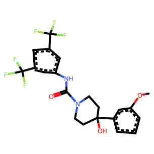 COc1cccc(C2(O)CCN(C(=O)Nc3cc(C(F)(F)F)cc(C(F)(F)F)c3)CC2)c1